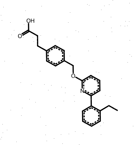 CCc1ccccc1-c1cccc(OCc2ccc(CCC(=O)O)cc2)n1